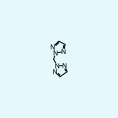 c1cnn(Cn2nccn2)n1